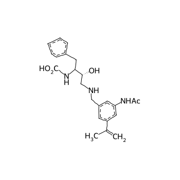 C=C(C)c1cc(CNC[C@@H](O)C(Cc2ccccc2)NC(=O)O)cc(NC(C)=O)c1